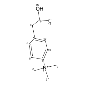 C[N+](C)(C)c1ccc(CC(O)Cl)cc1